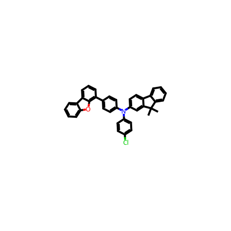 CC1(C)c2ccccc2-c2ccc(N(c3ccc(Cl)cc3)c3ccc(-c4cccc5c4oc4ccccc45)cc3)cc21